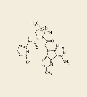 Cc1ccc2c(n1)c1c(N)ncnc1n2CC(=O)N1[C@H](C(=O)Nc2cccc(Br)n2)C[C@@]2(C)C[C@@H]12